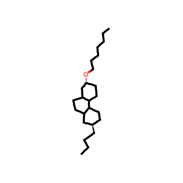 CCCCCCCO[C@@H]1CCC2C(CCC3C[C@H](CCCC)CCC32)C1